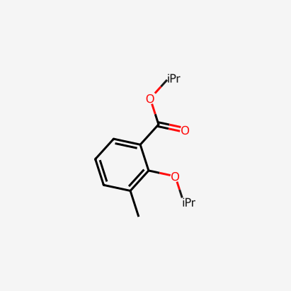 Cc1cccc(C(=O)OC(C)C)c1OC(C)C